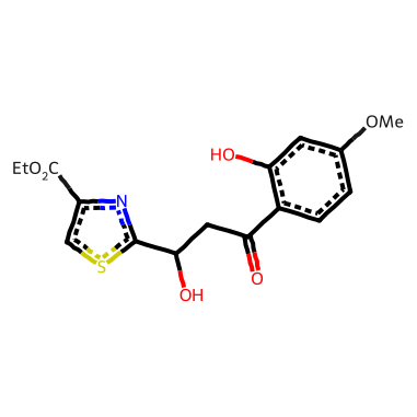 CCOC(=O)c1csc(C(O)CC(=O)c2ccc(OC)cc2O)n1